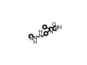 O=c1[nH]ccc2nc(-c3ccc(CNCCNc4ccccn4)cc3)c(-c3ccccc3)cc12